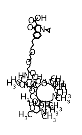 CC[C@H]1OC(=O)[C@H](C)[C@@H](O[C@H]2C[C@@](C)(OC)[C@@H](NC(=O)CCOCCOCCCc3ccc4c(c3)c(=O)c(C(=O)O)cn4C3CC3)[C@H](C)O2)[C@H](C)[C@@H](O[C@@H]2O[C@H](C)C[C@H](N(C)C)[C@H]2O)[C@](C)(O)C[C@@H](C)CN(C)[C@H](C)[C@@H](O)[C@]1(C)O